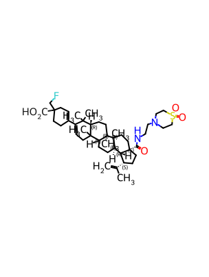 C=C(C)[C@H]1CC[C@]2(C(=O)NCCN3CCS(=O)(=O)CC3)CC[C@]3(C)[C@H](CC[C@@H]4C5(C)CC=C(C6=CCC(CF)(C(=O)O)CC6)C(C)(C)[C@@H]5CC[C@]43C)[C@@H]12